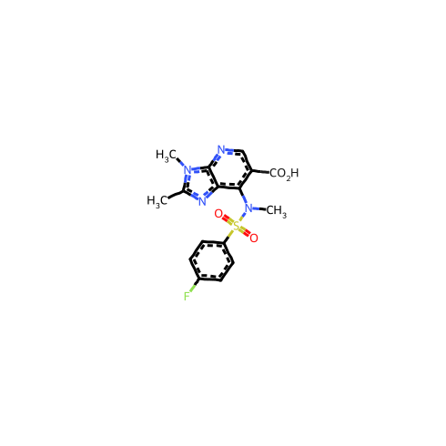 Cc1nc2c(N(C)S(=O)(=O)c3ccc(F)cc3)c(C(=O)O)cnc2n1C